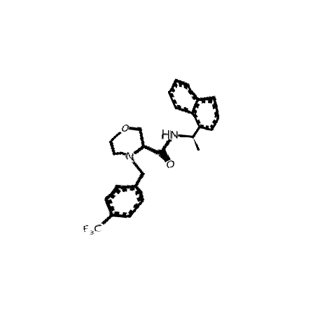 C[C@@H](NC(=O)C1COCCN1Cc1ccc(C(F)(F)F)cc1)c1cccc2ccccc12